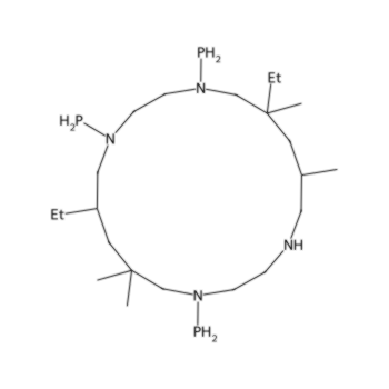 CCC1CN(P)CCN(P)CC(C)(CC)CC(C)CNCCN(P)CC(C)(C)C1